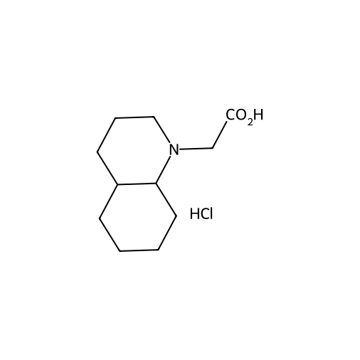 Cl.O=C(O)CN1CCCC2CCCCC21